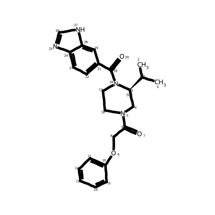 CC(C)[C@H]1CN(C(=O)COc2ccccc2)CCN1C(=O)c1ccc2nc[nH]c2c1